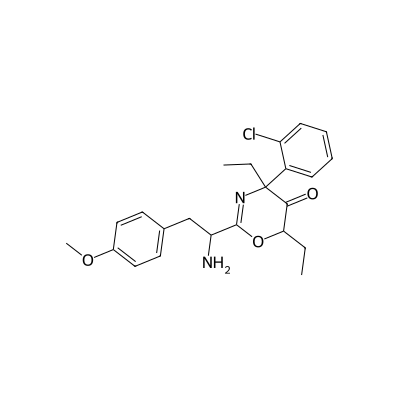 CCC1OC(C(N)Cc2ccc(OC)cc2)=NC(CC)(c2ccccc2Cl)C1=O